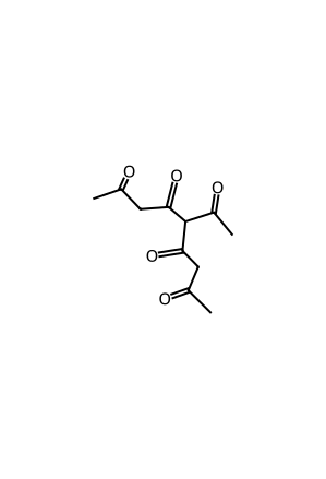 CC(=O)CC(=O)C(C(C)=O)C(=O)CC(C)=O